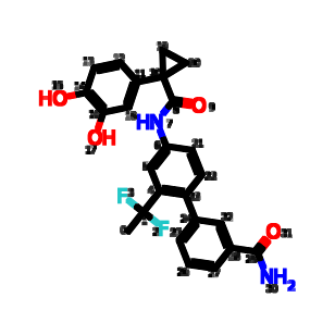 CC(F)(F)c1cc(NC(=O)C2(c3ccc(O)c(O)c3)CC2)ccc1-c1cccc(C(N)=O)c1